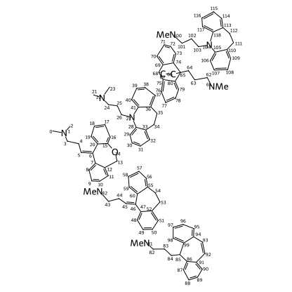 CN(C)CCC=C1c2ccccc2COc2ccccc21.CN(C)CCCN1c2ccccc2CCc2ccccc21.CNCCC=C1c2ccccc2CCc2ccccc21.CNCCCC12CCC(c3ccccc31)c1ccccc12.CNCCCC1c2ccccc2C=Cc2ccccc21.CNCCCN1c2ccccc2CCc2ccccc21